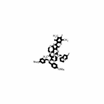 COc1ccc(CN(Cc2ccc(OC)cc2)c2nccnc2[C@@H](C)N2CCOc3nc(-c4c(F)c(C)c(F)c(C)c4I)c(F)c4nc(OC[C@@]56CCCN5C[C@H](F)C6)nc2c34)cc1